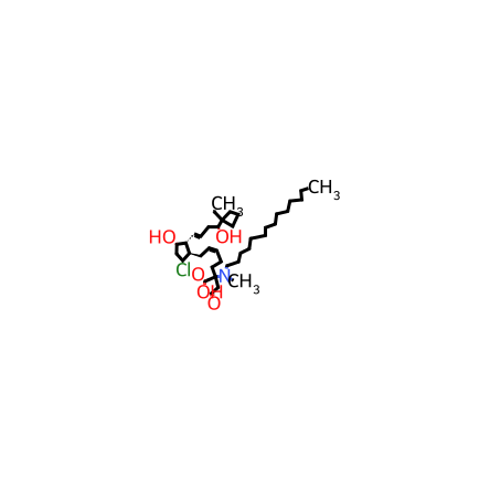 CCCCCCCCCCCCCCN(C)C(CC=O)(CC/C=C\C[C@@H]1[C@@H](/C=C/C[C@H](O)C2(CC)CCC2)[C@H](O)C[C@H]1Cl)C(=O)O